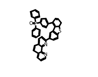 O=P(c1ccccc1)(c1ccccc1)c1ccc(C2=C3c4cc(-c5ccc6ccc7cccnc7c6n5)ccc4SC3CC=C2)cc1